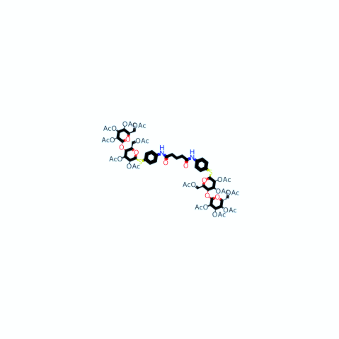 CC(=O)OC[C@H]1O[C@@H](Sc2ccc(NC(=O)CCCC(=O)Nc3ccc(S[C@@H]4O[C@H](COC(C)=O)[C@@H](O[C@H]5O[C@H](COC(C)=O)[C@@H](OC(C)=O)[C@H](OC(C)=O)[C@H]5OC(C)=O)[C@H](OC(C)=O)[C@H]4OC(C)=O)cc3)cc2)[C@H](OC(C)=O)[C@@H](OC(C)=O)[C@@H]1O[C@H]1O[C@H](COC(C)=O)[C@@H](OC(C)=O)[C@H](OC(C)=O)[C@H]1OC(C)=O